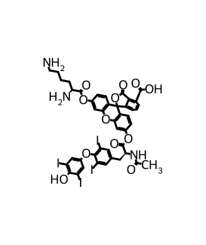 CC(=O)N[C@@H](Cc1cc(I)c(Oc2cc(I)c(O)c(I)c2)c(I)c1)C(=O)Oc1ccc2c(c1)Oc1cc(OC(=O)[C@@H](N)CCCCN)ccc1C21OC(=O)c2c(C(=O)O)cccc21